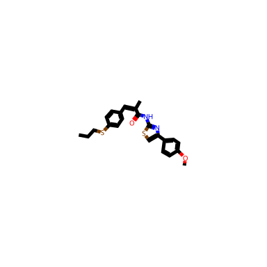 CCCSc1ccc(C=C(C)C(=O)Nc2nc(-c3ccc(OC)cc3)cs2)cc1